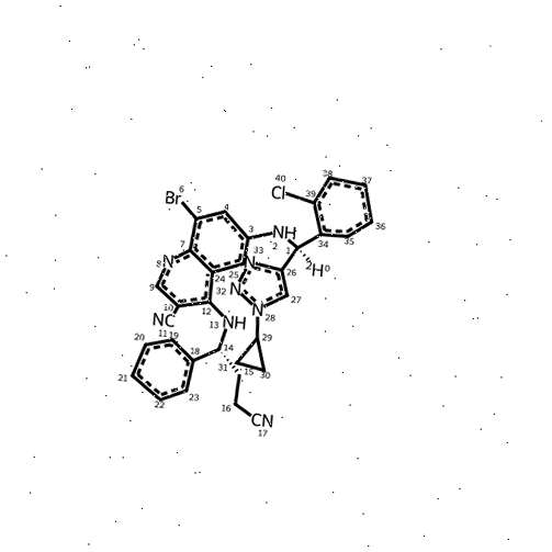 [2H][C@@](Nc1cc(Br)c2ncc(C#N)c(N[C@H](CCC#N)c3ccccc3)c2c1)(c1cn(C2CC2)nn1)c1ccccc1Cl